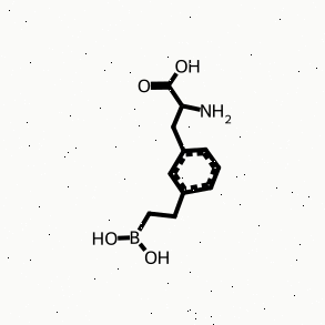 NC(Cc1cccc(CCB(O)O)c1)C(=O)O